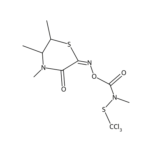 CC1SC(=NOC(=O)N(C)SC(Cl)(Cl)Cl)C(=O)N(C)C1C